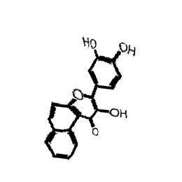 O=c1c(O)c(-c2ccc(O)c(O)c2)oc2ccc3ccccc3c12